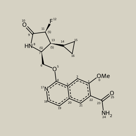 COc1cc2c(OC[C@H]3NC(=O)[C@@H](F)[C@H]3C3CC3)nccc2cc1C(N)=O